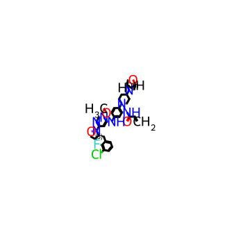 C=CC(=O)Nc1cc(Nc2cc(N3OCC[C@@H]3Cc3cccc(Cl)c3F)ncn2)c(OC)cc1N1CCC(N2C[C@@H]3C[C@H]2CO3)CC1